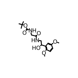 COc1ccc(OC)c(C(O)CNC(=O)CNC(=O)OC(C)(C)C)c1